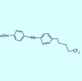 CCCCCCCCCCc1ccc(C#Cc2ccc(CCCCC(F)(F)F)cc2)cc1